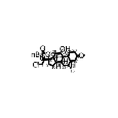 CCCCC(=O)O[C@@]1(C(=O)CCl)CC[C@H]2[C@@H]3C[C@H](C)[C@@H]4CC(=O)CC[C@]4(C)[C@@]3(F)[C@@H](O)C[C@@]21C